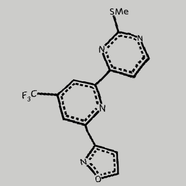 CSc1nccc(-c2cc(C(F)(F)F)cc(-c3ccon3)n2)n1